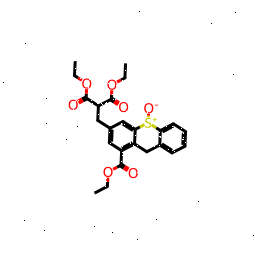 CCOC(=O)c1cc(CC(C(=O)OCC)C(=O)OCC)cc2c1Cc1ccccc1[S+]2[O-]